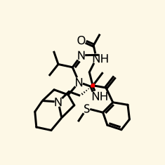 C=C(C1=C(SC)C=CCC1)[C@H](CCN1C2CCCC1CC(N(C(C)=N)/C(=N\C)C(C)C)C2)CNC(C)=O